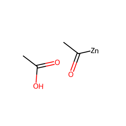 CC(=O)O.C[C](=O)[Zn]